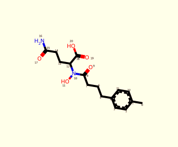 Cc1ccc(CCCC(=O)N(O)C(CCC(N)=O)C(=O)O)cc1